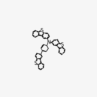 C1=CC(N(c2ccc3sc4ccccc4c3c2)c2ccc3sc4ccccc4c3c2)CC=C1c1ccc2sc3ccccc3c2c1